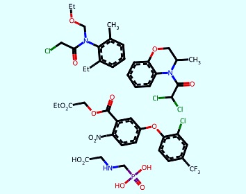 CC1COc2ccccc2N1C(=O)C(Cl)Cl.CCOC(=O)COC(=O)c1cc(Oc2ccc(C(F)(F)F)cc2Cl)ccc1[N+](=O)[O-].CCOCN(C(=O)CCl)c1c(C)cccc1CC.O=C(O)CNCP(=O)(O)O